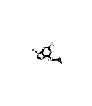 CCCCn1cnc2c(NC3CC3)nc(C(F)(F)F)nc21